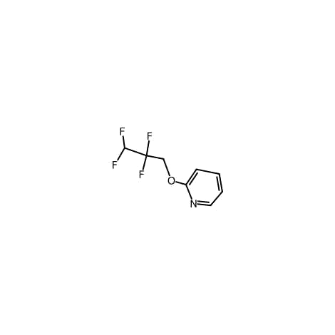 FC(F)C(F)(F)COc1ccccn1